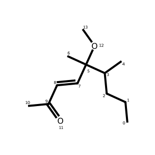 CCCC(C)C(C)(/C=C/C(C)=O)OC